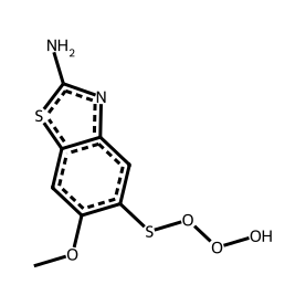 COc1cc2sc(N)nc2cc1SOOO